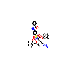 CC(C)(C)OC(=O)[C@@H](CCCCN)N(C(=O)OC(C)(C)C)S(=O)(=O)c1ccc(NC(=O)c2ccccc2)cc1